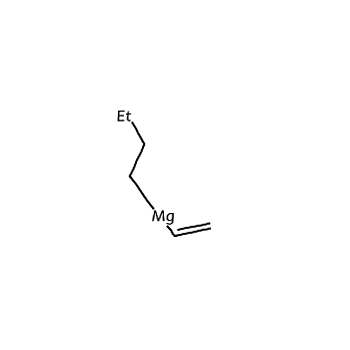 C=[CH][Mg][CH2]CCC